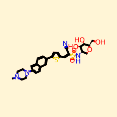 CN1CCN(c2ccc3cc(-c4ccc(/C=C(\C#N)S(=O)(=O)N[C@H]5CO[C@H](CO)[C@@H](O)[C@@H]5O)s4)ccc3c2)CC1